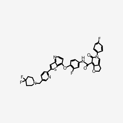 O=C(Nc1ccc(Oc2ccnc3cc(-c4ccc(CN5CCC(F)(F)CC5)cn4)sc23)c(F)c1)c1c2c(cn(-c3ccc(F)cc3)c1=O)CCO2